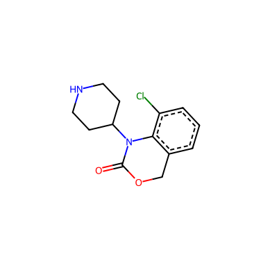 O=C1OCc2cccc(Cl)c2N1C1CCNCC1